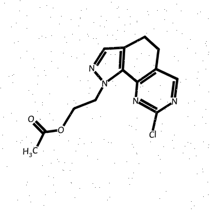 CC(=O)OCCn1ncc2c1-c1nc(Cl)ncc1CC2